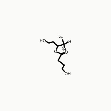 [2H]C([2H])([2H])C(CCO)OC(=O)CCCO